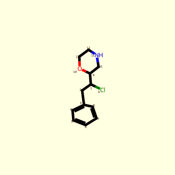 ClC(Cc1ccccc1)C1CNCCO1